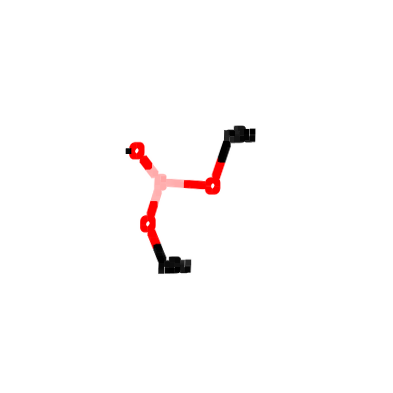 CCCCOB([O])OCCCC